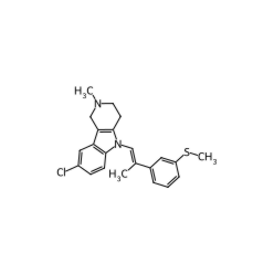 CSc1cccc(/C(C)=C/n2c3c(c4cc(Cl)ccc42)CN(C)CC3)c1